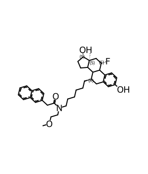 COCCN(CCCCCC[C@@H]1Cc2cc(O)ccc2C2C1C1CC[C@H](O)[C@@]1(C)C[C@@H]2F)C(=O)Cc1ccc2ccccc2c1